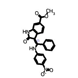 COC(=O)c1ccc2c(c1)NC(=O)/C2=C(\Nc1ccc([N+](=O)[O-])cc1)c1ccccc1